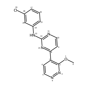 COc1nnccc1-c1ccnc(Nc2cccc(Cl)c2)n1